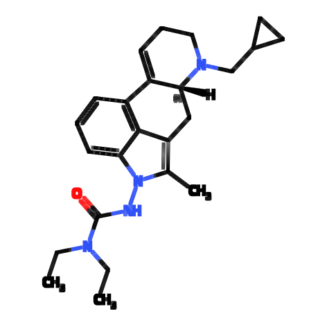 CCN(CC)C(=O)Nn1c(C)c2c3c(cccc31)C1=CCCN(CC3CC3)[C@@H]1C2